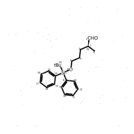 C[C@H](C=O)CCCO[Si](c1ccccc1)(c1ccccc1)C(C)(C)C